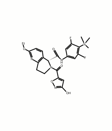 CCOc1ccc2c(n1)CCN(C(=O)c1cc(O)no1)[C@H]2C(=O)Nc1cc(F)c([Si](C)(C)C)c(F)c1